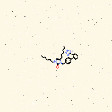 CCCCCCc1cn(CCCCCC)c(=O)n1Cc1ccc(-c2ccccc2-c2nnn[nH]2)cc1